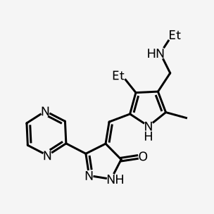 CCNCc1c(C)[nH]c(C=C2C(=O)NN=C2c2cnccn2)c1CC